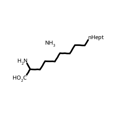 CCCCCCCCCCCCCCC(N)C(=O)O.N